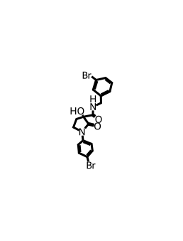 O=C(NCc1cccc(Br)c1)[C@@]1(O)CCN(c2ccc(Br)cc2)C1=O